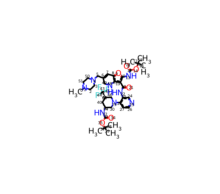 CN1CCN(CC2=Cc3oc(NC(=O)OC(C)(C)C)c(C(=O)Nc4cnccc4N4C[C@@H](NC(=O)OC(C)(C)C)C[C@@H](C(F)(F)F)C4)c3NC2)CC1